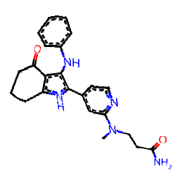 CN(CCC(N)=O)c1cc(-c2[nH]c3c(c2Nc2ccccc2)C(=O)CCC3)ccn1